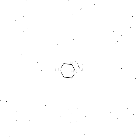 C1CNCCN1.NN